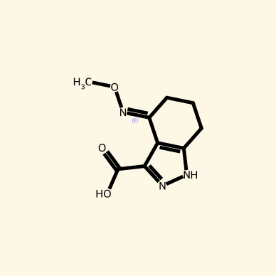 CO/N=C1\CCCc2[nH]nc(C(=O)O)c21